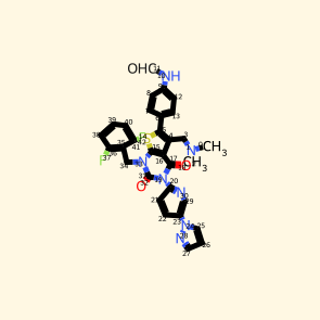 CN(C)Cc1c(-c2ccc(NC=O)cc2)sc2c1c(=O)n(-c1ccc(-n3cccn3)cn1)c(=O)n2Cc1c(F)cccc1F